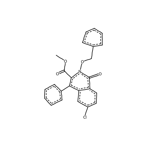 COC(=O)c1c(-c2ccccc2)c2cc(Cl)ccc2c(=O)n1OCc1ccccc1